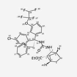 CCOC(=O)[C@H]1[C@H]2CC[C@H](C2)[C@H]1NC(=O)N[C@](Cc1ccccc1)(c1cccc(OC(F)(F)C(F)F)c1)c1ccc(Cl)cn1